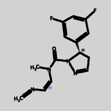 C=N/C=C\N(C)C(=O)N1N=CC[C@H]1c1cc(F)cc(F)c1